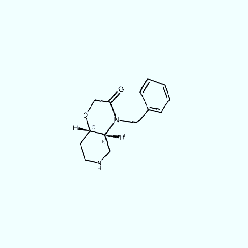 O=C1CO[C@H]2CCNC[C@H]2N1Cc1ccccc1